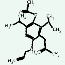 C=CCOc1cc(C(C)C)c(OC(C)=O)c(C(C)C)c1CC(=C)C